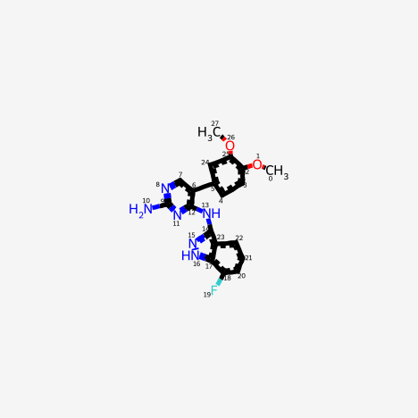 COc1ccc(-c2cnc(N)nc2Nc2n[nH]c3c(F)cccc23)cc1OC